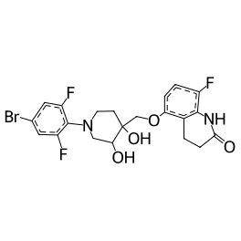 O=C1CCc2c(OCC3(O)CCN(c4c(F)cc(Br)cc4F)CC3O)ccc(F)c2N1